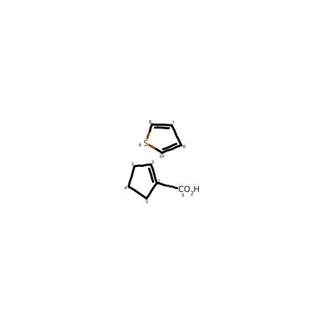 O=C(O)C1=CCCC1.c1ccsc1